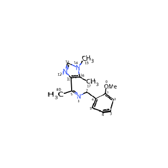 COc1ccccc1CN=C(C)c1ncn(C)c1C